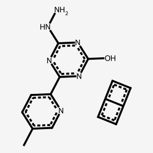 Cc1ccc(-c2nc(O)nc(NN)n2)nc1.c1cc2ccc1-2